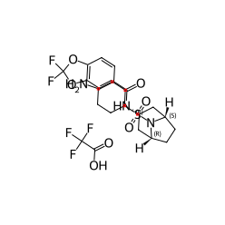 NC1CCC(S(=O)(=O)N2[C@@H]3CC[C@H]2C[C@@H](NC(=O)c2ccc4c(c2)OC(F)(F)O4)C3)CC1.O=C(O)C(F)(F)F